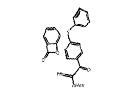 CCCCCCC(=N)C(=O)c1ccc(Sc2ccccc2)cc1.O=C1Oc2ccccc21